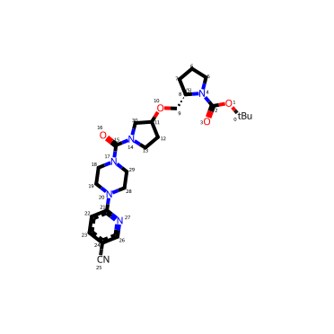 CC(C)(C)OC(=O)N1CCC[C@H]1COC1CCN(C(=O)N2CCN(c3ccc(C#N)cn3)CC2)C1